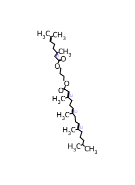 CC(C)=CCC/C(C)=C/C(=O)OCCCCOC(=O)/C=C(\C)CC/C=C(\C)CC/C=C(\C)CCCC(C)C